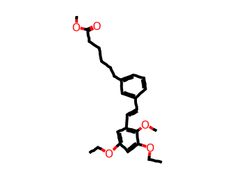 CCOc1cc(C=Cc2cccc(CCCCCC(=O)OC)c2)c(OC)c(OCC)c1